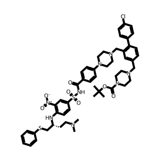 CN(C)CC[C@H](CSc1ccccc1)Nc1ccc(S(=O)(=O)NC(=O)c2ccc(N3CCN(Cc4cc(CN5CCN(C(=O)OC(C)(C)C)CC5)ccc4-c4ccc(Cl)cc4)CC3)cc2)cc1[N+](=O)[O-]